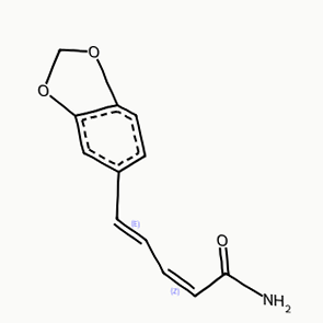 NC(=O)/C=C\C=C\c1ccc2c(c1)OCO2